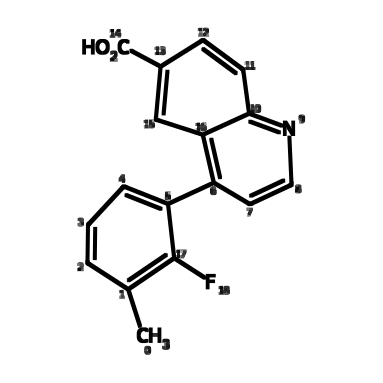 Cc1cccc(-c2ccnc3ccc(C(=O)O)cc23)c1F